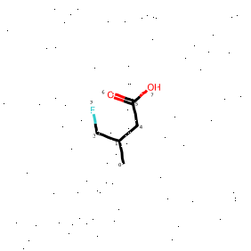 CC(CF)CC(=O)O